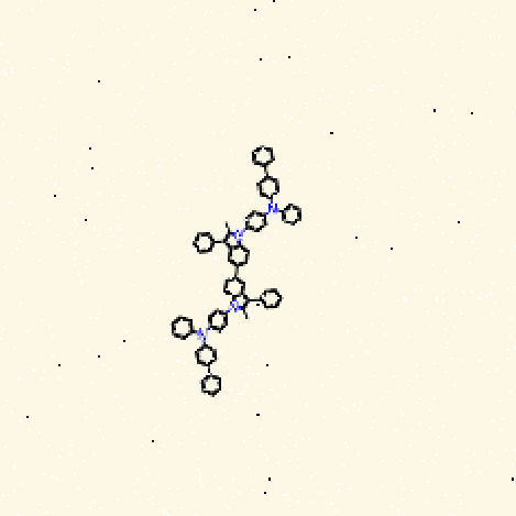 Cc1c(-c2ccccc2)c2cc(-c3ccc4c(c3)c(-c3ccccc3)c(C)n4-c3ccc(N(c4ccccc4)c4ccc(-c5ccccc5)cc4)cc3)ccc2n1-c1ccc(N(c2ccccc2)c2ccc(-c3ccccc3)cc2)cc1